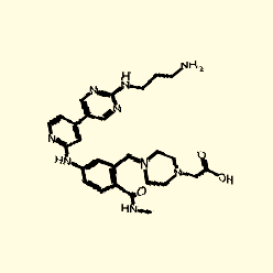 CNC(=O)c1ccc(Nc2cc(-c3cnc(NCCCN)nc3)ccn2)cc1CN1CCN(CC(=O)O)CC1